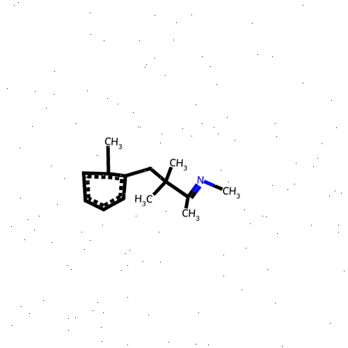 CN=C(C)C(C)(C)Cc1ccccc1C